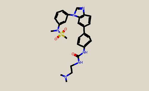 CN(C)CCNC(=O)Nc1ccc(-c2ccc3ncn(-c4cccc(N(C)S(C)(=O)=O)c4)c3c2)cc1